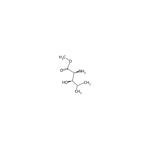 COC(=O)[C@@H](N)[C@H](O)C(C)C